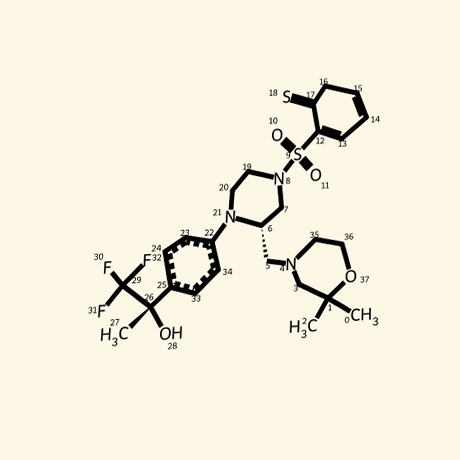 CC1(C)CN(C[C@H]2CN(S(=O)(=O)C3=CC=CCC3=S)CCN2c2ccc([C@](C)(O)C(F)(F)F)cc2)CCO1